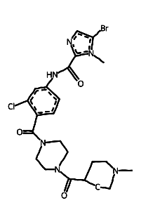 CN1CCC(C(=O)N2CCN(C(=O)c3ccc(NC(=O)c4ncc(Br)n4C)cc3Cl)CC2)CC1